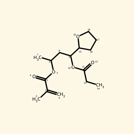 C=C(C)C(=O)OC(C)CC(OC(=O)CC)C1CCCO1